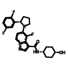 O=C(N[C@H]1CC[C@H](O)CC1)c1cnn2ccc(N3CCC[C@@H]3c3cc(F)ccc3F)c(F)c12